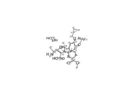 COC(=O)c1cccc(N2C(C(=O)O)=C(C(C)N)O[C@@]2(C)c2ccc(OC(F)F)c(OCC3CC3)c2)n1.Cl.Cl